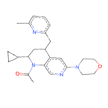 CC(=O)N1c2cnc(N3CCOCC3)cc2C(Cc2cccc(C)n2)CC1C1CC1